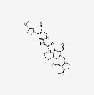 CO[C@H]1CCN(c2cc(NC(=O)N3CCCc4cc(CN5CC[C@@H](OC)C5=C=O)c(C=O)nc43)ncc2C#N)C1